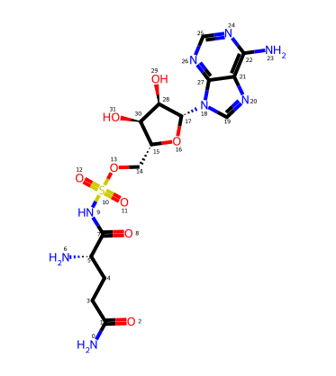 NC(=O)CC[C@H](N)C(=O)NS(=O)(=O)OC[C@H]1O[C@@H](n2cnc3c(N)ncnc32)[C@H](O)[C@@H]1O